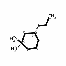 CCC[C@@H]1CCC[C@@](C)(N)C1